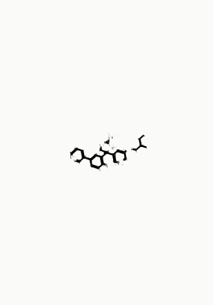 CCC(C)CSc1cnc2c(c1)C1(COC(N)=N1)c1cc(-c3cccnc3)ccc1O2